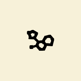 Clc1ccc2ccccc2c1-c1[c]occ1